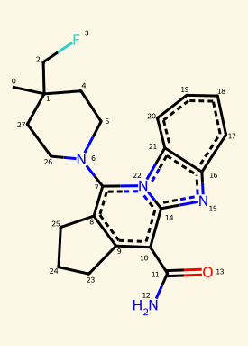 CC1(CF)CCN(c2c3c(c(C(N)=O)c4nc5ccccc5n24)CCC3)CC1